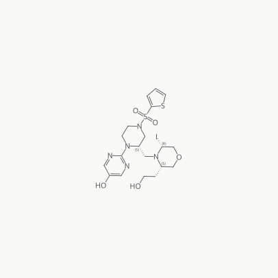 O=S(=O)(c1cccs1)N1CCN(c2ncc(O)cn2)[C@@H](CN2[C@@H](CCO)COC[C@H]2I)C1